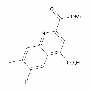 COC(=O)c1cc(C(=O)O)c2cc(F)c(F)cc2n1